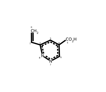 C=Cc1cc(C(=O)O)cnn1